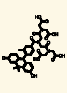 Cc1cc(C(=O)N(CC(=O)N(CC(=O)O)CC(=O)O)CC(=O)N(CC(=O)O)CC(=O)O)ccc1C1=C2C=CC(=O)C=C2[Si](C)(C)c2cc(O)ccc21